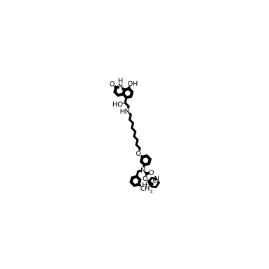 Cc1cccc(CN(C(=O)O[C@H]2CN3CCC2CC3)c2cccc(OCCCCCCCCCNC[C@H](O)c3ccc(O)c4[nH]c(=O)ccc34)c2)c1